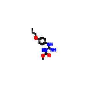 CCCOc1ccc(NC(=N)NC(=O)OC)cc1